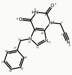 N#CCn1c(=O)[nH]c(=O)c2c1ncn2Cc1ccccc1